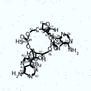 CC(C)(C)[Si](C)(C)OC1[C@H]2O[P@](=O)(S)OCC[C@@]34CO[C@@H]([C@H](n5cnc6c(N)ncnc65)O3)[C@@H]4O[P@](=O)(S)OC[C@H]1O[C@H]2n1cnc2c(N)ncnc21